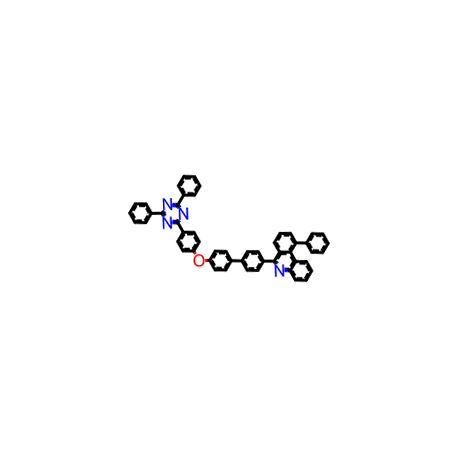 c1ccc(-c2nc(-c3ccccc3)nc(-c3ccc(Oc4ccc(-c5ccc(-c6nc7ccccc7c7c(-c8ccccc8)cccc67)cc5)cc4)cc3)n2)cc1